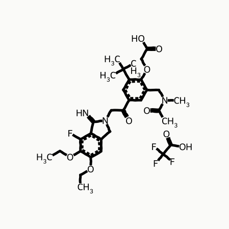 CCOc1cc2c(c(F)c1OCC)C(=N)N(CC(=O)c1cc(CN(C)C(C)=O)c(OCC(=O)O)c(C(C)(C)C)c1)C2.O=C(O)C(F)(F)F